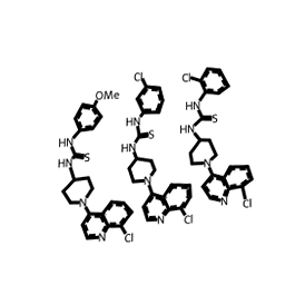 COc1ccc(NC(=S)NC2CCN(c3ccnc4c(Cl)cccc34)CC2)cc1.S=C(Nc1cccc(Cl)c1)NC1CCN(c2ccnc3c(Cl)cccc23)CC1.S=C(Nc1ccccc1Cl)NC1CCN(c2ccnc3c(Cl)cccc23)CC1